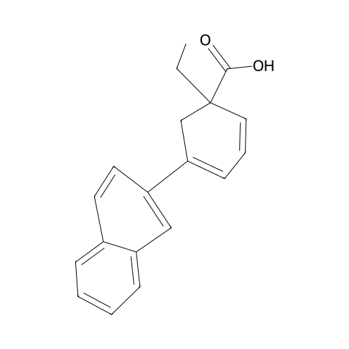 CCC1(C(=O)O)C=CC=C(c2ccc3ccccc3c2)C1